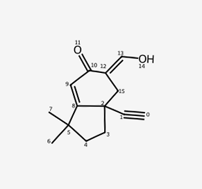 C#CC12CCC(C)(C)C1=CC(=O)/C(=C/O)C2